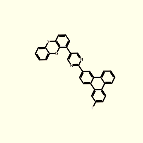 Fc1ccc2c3ccccc3c3cc(-c4ncc(-c5cccc6c5Oc5ccccc5S6)cn4)ccc3c2c1